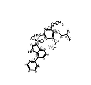 COc1nc(NS(=O)(=O)c2c[nH]c3c(-c4ncccn4)cccc23)nc(OC)c1OCC(F)F